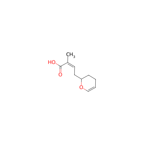 CC(=CCC1CCC=CO1)C(=O)O